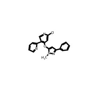 Cn1nc(-c2ccccc2)cc1Oc1cc(Cl)ncc1-c1ccccn1